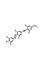 Cc1cc(F)c(C#Cc2cc(F)c(N=Nc3cc(F)c(F)c(F)c3)c(F)c2)c(F)c1